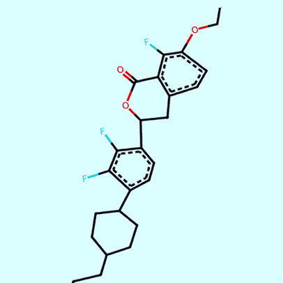 CCCC1CCC(c2ccc(C3Cc4ccc(OCC)c(F)c4C(=O)O3)c(F)c2F)CC1